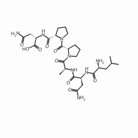 CC(C)C[C@H](N)C(=O)N[C@@H](CC(N)=O)C(=O)N[C@@H](C)C(=O)N1CCC[C@H]1C(=O)N1CCC[C@H]1C(=O)N[C@@H](CC(N)=O)C(=O)O